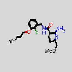 CCC/C=C/COc1cccc(CNC(=O)c2ccc(COC)nc2N)c1F